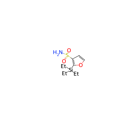 CC[Si](CC)(CC)c1occc1S(N)(=O)=O